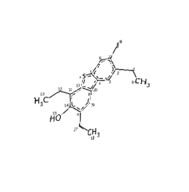 CCc1cc2c(cc1I)sc1c(CC)c(O)c(CC)cc12